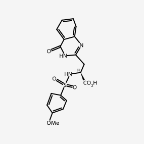 COc1ccc(S(=O)(=O)N[C@@H](Cc2nc3ccccc3c(=O)[nH]2)C(=O)O)cc1